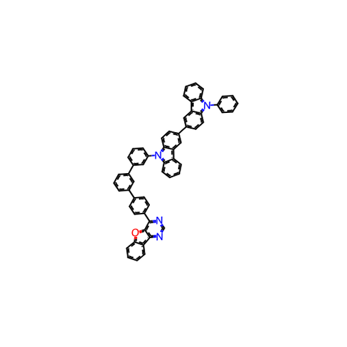 c1ccc(-n2c3ccccc3c3cc(-c4ccc5c(c4)c4ccccc4n5-c4cccc(-c5cccc(-c6ccc(-c7ncnc8c7oc7ccccc78)cc6)c5)c4)ccc32)cc1